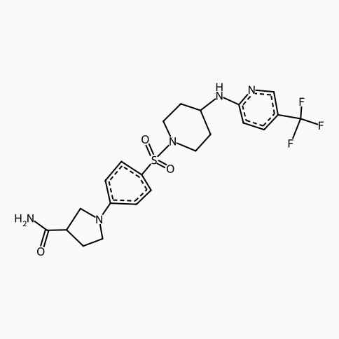 NC(=O)C1CCN(c2ccc(S(=O)(=O)N3CCC(Nc4ccc(C(F)(F)F)cn4)CC3)cc2)C1